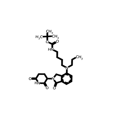 CCCN(CCCCNC(=O)OC(C)(C)C)c1cccc2c1CN(C1CCC(=O)NC1=O)C2=O